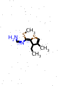 CCC1C(C)=CS/C1=C(/N=C\N)SC